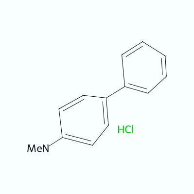 CNc1ccc(-c2ccccc2)cc1.Cl